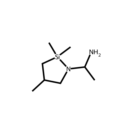 CC1CN(C(C)N)[Si](C)(C)C1